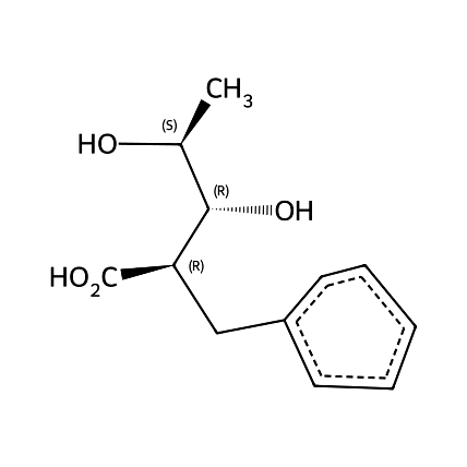 C[C@H](O)[C@H](O)[C@@H](Cc1ccccc1)C(=O)O